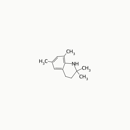 Cc1cc(C)c2c(c1)CCC(C)(C)N2